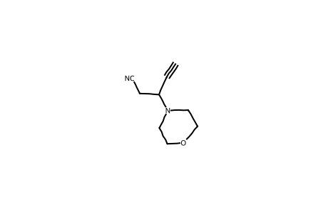 C#CC(CC#N)N1CCOCC1